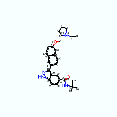 CCN1CCC[C@H]1COc1ccc2cc(-c3n[nH]c4ccc(C(=O)NC(C)(C)C)cc34)ccc2c1